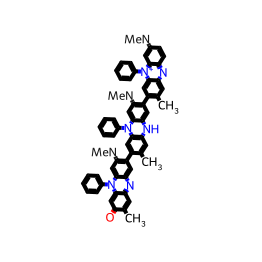 CNc1ccc2nc3cc(C)c(-c4cc5c(cc4NC)N(c4ccccc4)c4cc(-c6cc7nc8cc(C)c(=O)cc-8n(-c8ccccc8)c7cc6NC)c(C)cc4N5)cc3[n+](-c3ccccc3)c2c1